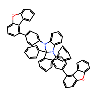 c1ccc(-c2ccccc2C2(c3ccccc3)N(c3ccc(-c4cccc5oc6ccccc6c45)cc3)c3ccccc3N2c2ccc(-c3cccc4oc5ccccc5c34)cc2)cc1